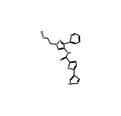 CCOCCn1cc(NC(=O)c2ccc(-c3cn[nH]c3)o2)c(-c2ccccn2)n1